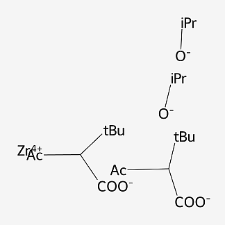 CC(=O)C(C(=O)[O-])C(C)(C)C.CC(=O)C(C(=O)[O-])C(C)(C)C.CC(C)[O-].CC(C)[O-].[Zr+4]